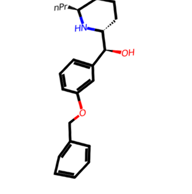 CCC[C@H]1CCC[C@H]([C@@H](O)c2cccc(OCc3ccccc3)c2)N1